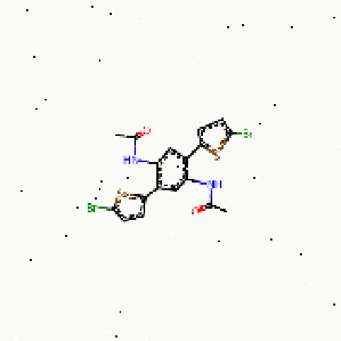 CC(=O)Nc1cc(-c2ccc(Br)s2)c(NC(C)=O)cc1-c1ccc(Br)s1